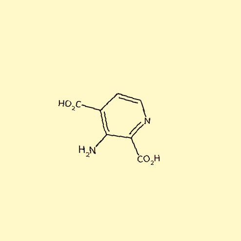 Nc1c(C(=O)O)ccnc1C(=O)O